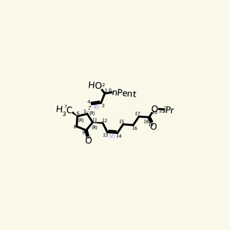 CCCCCC(O)/C=C/[C@H]1[C@H](C)CC(=O)[C@@H]1C/C=C\CCCC(=O)OC(C)C